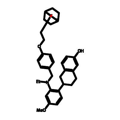 CCN(Cc1ccc(OCCN2CC3CCC(CC3)C2)cc1)c1cc(OC)ccc1C1CCc2cc(O)ccc2C1